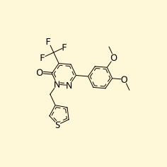 COc1ccc(-c2cc(C(F)(F)F)c(=O)n(Cc3ccsc3)n2)cc1OC